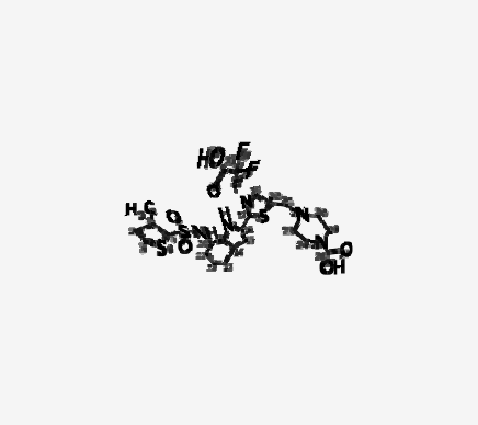 Cc1ccsc1S(=O)(=O)Nc1cccc2cc(-c3ncc(CN4CCN(C(=O)O)CC4)s3)[nH]c12.O=C(O)C(F)(F)F